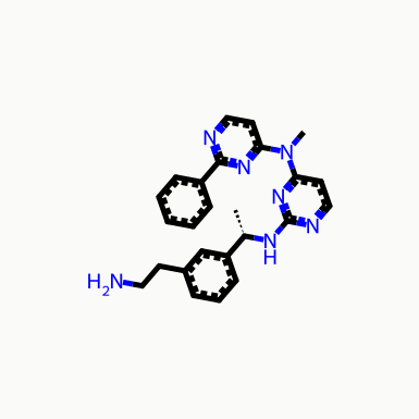 C[C@H](Nc1nccc(N(C)c2ccnc(-c3ccccc3)n2)n1)c1cccc(CCN)c1